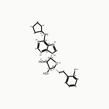 O[C@@H]1[C@H](O)[C@@H](CCc2ccccc2F)O[C@H]1n1cnc2c(NC3CCCC3)ncnc21